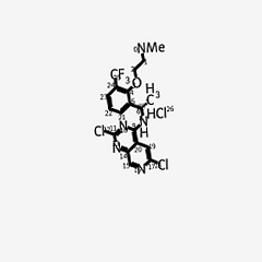 CNCCOc1c([C@@H](C)Nc2nc(Cl)nc3cnc(Cl)cc23)cccc1C(F)(F)F.Cl